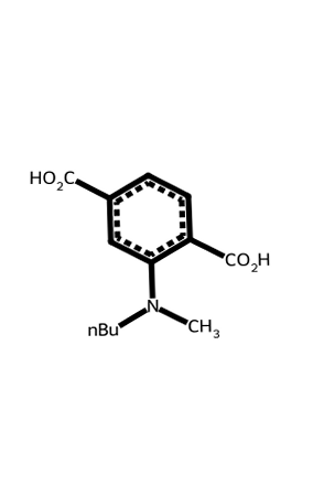 CCCCN(C)c1cc(C(=O)O)ccc1C(=O)O